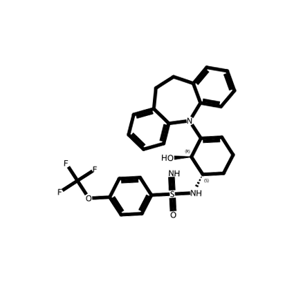 N=S(=O)(N[C@H]1CCC=C(N2c3ccccc3CCc3ccccc32)[C@@H]1O)c1ccc(OC(F)(F)F)cc1